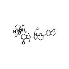 COc1cc(C(=O)N2C[C@H]3CC[C@@H]2[C@@H]3N)cc2nc(-c3cc4ccc(-c5ccc6c(c5)CCO6)nc4n3CC3CC3)n(C)c12